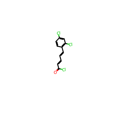 O=C(Cl)C=CC=Cc1ccc(Cl)cc1Cl